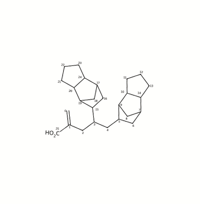 C=C(CC(CC1CC2CC1C1CCCC21)C1CC2CC1C1CCCC21)C(=O)O